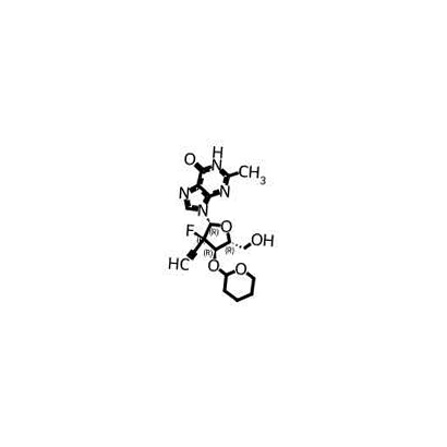 C#C[C@@]1(F)[C@H](OC2CCCCO2)[C@@H](CO)O[C@H]1n1cnc2c(=O)[nH]c(C)nc21